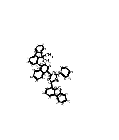 CC1(C)c2ccccc2-c2cccc(-c3ccc(-c4cc(-c5cccc6c5sc5ccccc56)nc(-c5ccccc5)n4)c4ccccc34)c21